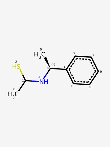 CC(S)N[C@@H](C)c1ccccc1